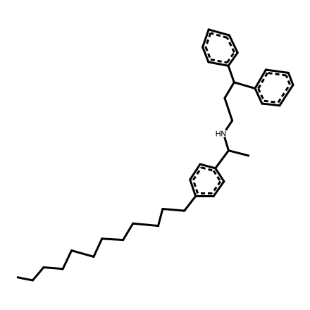 CCCCCCCCCCCCc1ccc(C(C)NCCC(c2ccccc2)c2ccccc2)cc1